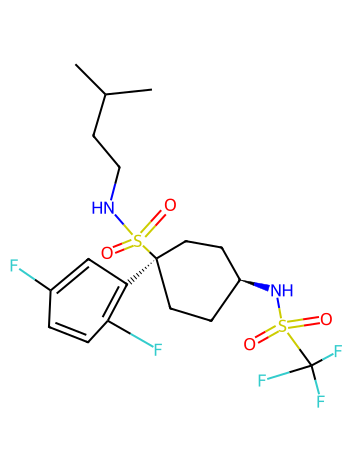 CC(C)CCNS(=O)(=O)[C@]1(c2cc(F)ccc2F)CC[C@H](NS(=O)(=O)C(F)(F)F)CC1